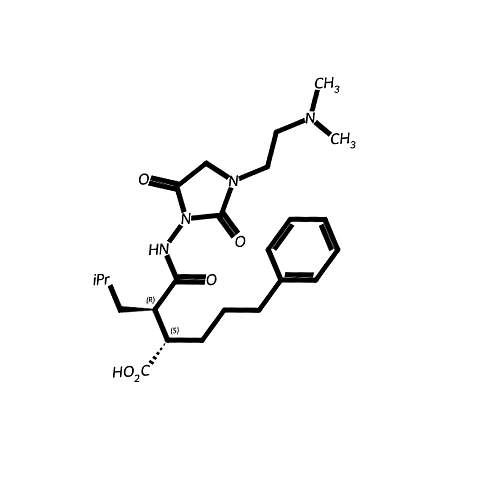 CC(C)C[C@@H](C(=O)NN1C(=O)CN(CCN(C)C)C1=O)[C@H](CCCc1ccccc1)C(=O)O